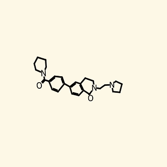 O=C(c1ccc(-c2ccc3c(c2)CCN(CCN2CCCC2)C3=O)cc1)N1CCCCC1